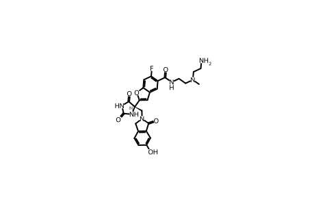 CN(CCN)CCNC(=O)c1cc2cc([C@]3(CN4Cc5ccc(O)cc5C4=O)NC(=O)NC3=O)oc2cc1F